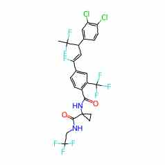 CC(F)(F)C(C=C(F)c1ccc(C(=O)NC2(C(=O)NCC(F)(F)F)CC2)c(C(F)(F)F)c1)c1ccc(Cl)c(Cl)c1